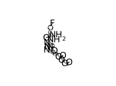 CC(=O)OCOC(=O)OC[C@@H]1CC[C@](C#N)(c2ccc3c(NC(=O)[C@@H](N)Cc4ccc(F)cc4)ncnn23)O1